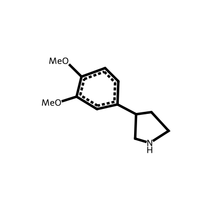 COc1ccc(C2CCNC2)cc1OC